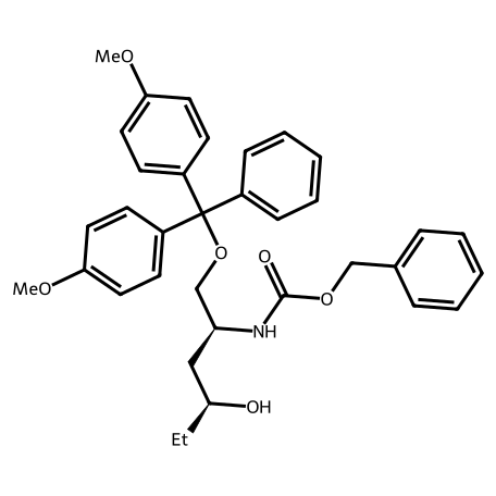 CC[C@H](O)C[C@@H](COC(c1ccccc1)(c1ccc(OC)cc1)c1ccc(OC)cc1)NC(=O)OCc1ccccc1